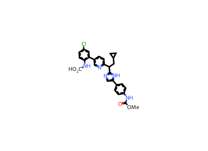 COC(=O)Nc1ccc(-c2cnc(C(CC3CC3)c3ccc(-c4cc(Cl)ccc4NC(=O)O)cn3)[nH]2)cc1